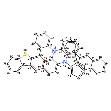 c1cc(-c2ccc3ccccc3c2)cc(N(c2ccccc2-c2cccc3c2sc2ccccc23)c2ccccc2-n2c3ccccc3c3ccccc32)c1